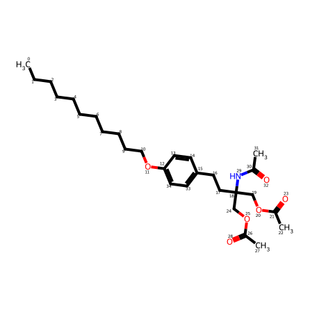 CCCCCCCCCCCOc1ccc(CCC(COC(C)=O)(COC(C)=O)NC(C)=O)cc1